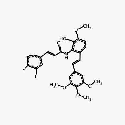 COc1ccc(C=Cc2cc(OC)c(OC)c(OC)c2)c(NC(=O)/C=C/c2ccc(F)c(F)c2)c1O